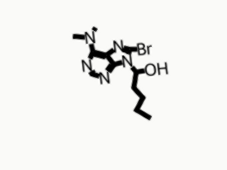 CCCCC(O)n1c(Br)nc2c(N(C)C)ncnc21